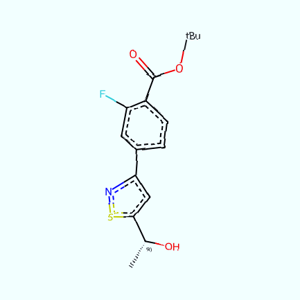 C[C@@H](O)c1cc(-c2ccc(C(=O)OC(C)(C)C)c(F)c2)ns1